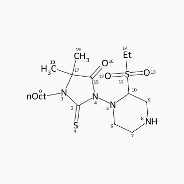 CCCCCCCCN1C(=S)N(N2CCNCC2S(=O)(=O)CC)C(=O)C1(C)C